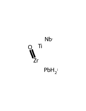 [Nb].[O]=[Zr].[PbH2].[Ti]